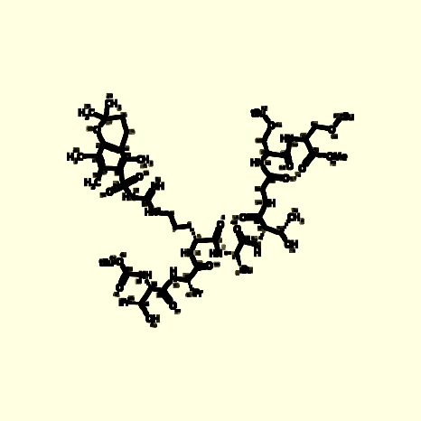 CC[C@H](C)[C@H](NC(=O)[C@@H](CCCNC(=N)NS(=O)(=O)c1c(C)c(C)c2c(c1C)CCC(C)(C)O2)NC(=O)[C@@H](NC(=O)[C@@H](NC(=O)OC(C)(C)C)[C@H](O)C(C)C)C(C)C)C(=O)N[C@H](C(=O)NCC(=O)N[C@@H](COC(C)(C)C)C(=O)N[C@@H](COC(C)(C)C)C(=O)OC)[C@H](C)O